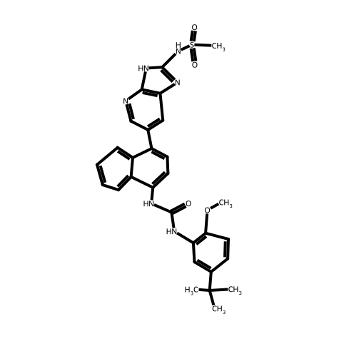 COc1ccc(C(C)(C)C)cc1NC(=O)Nc1ccc(-c2cnc3[nH]c(NS(C)(=O)=O)nc3c2)c2ccccc12